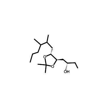 CCCC(C)C(C)C[C@H]1OC(C)(C)O[C@@H]1C[C@@H](O)CC